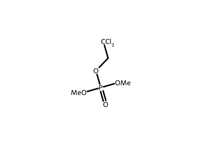 COP(=O)(OC)OCC(Cl)(Cl)Cl